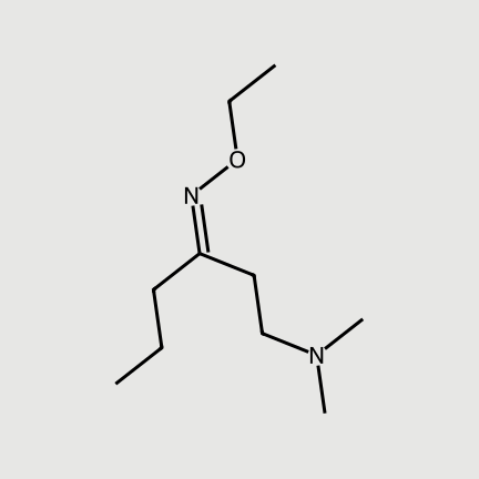 CCC/C(CCN(C)C)=N/OCC